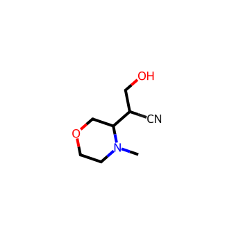 CN1CCOCC1C(C#N)CO